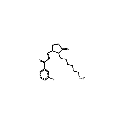 O=C(O)CCCCCCC1C(=O)CCC1C=CC(=O)c1cccc(F)c1